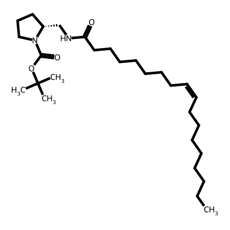 CCCCCCCC/C=C\CCCCCCCC(=O)NC[C@H]1CCCN1C(=O)OC(C)(C)C